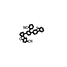 N#Cc1ccc2oc3cccc(-c4ccc(-c5ccc6c(c5)sc5ccccc56)c(-c5ccccc5C#N)c4)c3c2c1